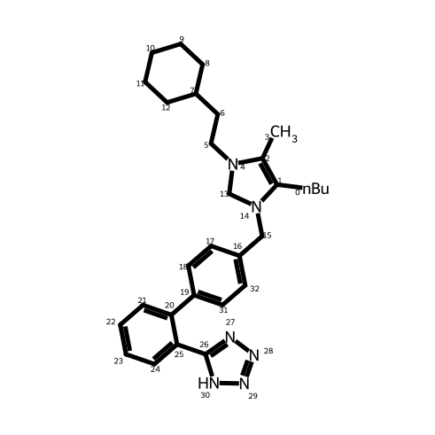 CCCCC1=C(C)N(CCC2CCCCC2)CN1Cc1ccc(-c2ccccc2-c2nnn[nH]2)cc1